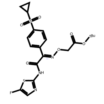 CC(C)(C)OC(=O)CO/N=C(/C(=O)Nc1ncc(F)s1)c1ccc(S(=O)(=O)C2CC2)cc1